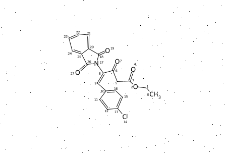 CCOC(=O)CC(=O)C(=Cc1ccc(Cl)cc1)N1C(=O)c2ccccc2C1=O